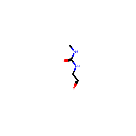 CNC(=O)NC[C]=O